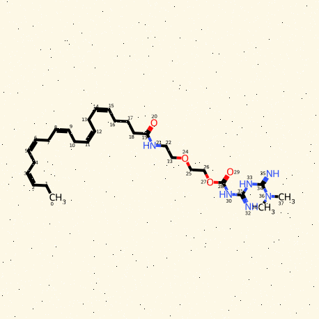 CC/C=C\C/C=C\C/C=C\C/C=C\C/C=C\CCCC(=O)NCCOCCOC(=O)NC(=N)NC(=N)N(C)C